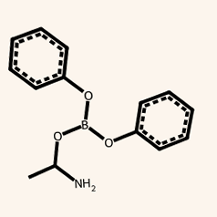 CC(N)OB(Oc1ccccc1)Oc1ccccc1